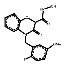 COc1ccc(F)c(CN2C(=O)C(C(=O)NO)Oc3ccccc32)c1